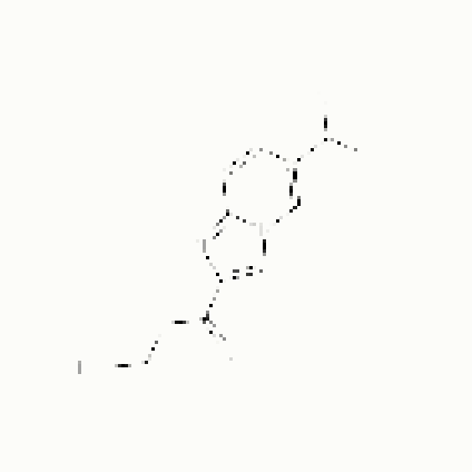 CCOC(=O)c1cn2cc(C(C)C)ccc2n1